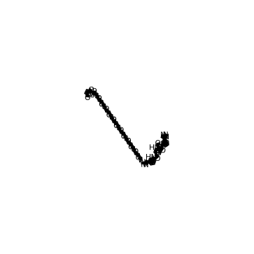 O=C(CCOCCOCCOCCOCCOCCOCCOCCOCCOCCOCCOCCOCCn1cc(-c2cccc(NC(=O)N3CCC4(CC3)NC(=O)N(c3cccc(-n5cnnn5)c3)C4=O)c2)nn1)ON1C(=O)CCC1=O